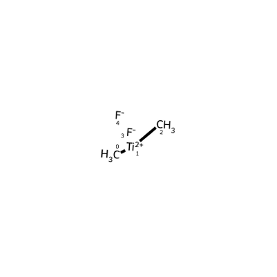 [CH3][Ti+2][CH3].[F-].[F-]